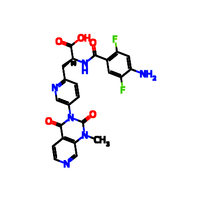 Cn1c(=O)n(-c2ccc(C[C@H](NC(=O)c3cc(F)c(N)cc3F)C(=O)O)nc2)c(=O)c2ccncc21